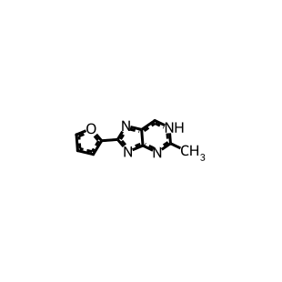 Cc1nc2nc(-c3ccco3)nc-2c[nH]1